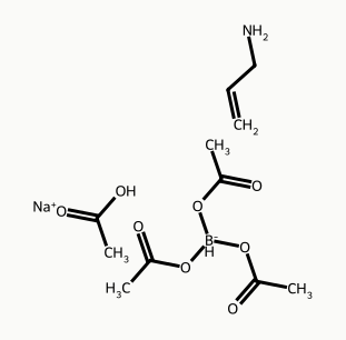 C=CCN.CC(=O)O.CC(=O)O[BH-](OC(C)=O)OC(C)=O.[Na+]